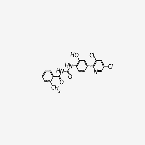 Cc1ccccc1C(=O)NC(=O)Nc1ccc(-c2ncc(Cl)cc2Cl)cc1O